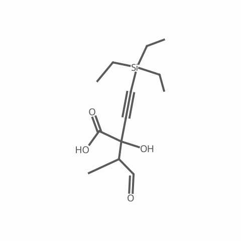 CC[Si](C#CC(O)(C(=O)O)C(C)C=O)(CC)CC